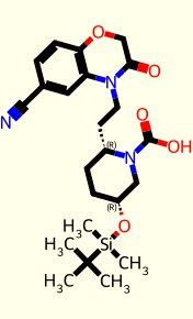 CC(C)(C)[Si](C)(C)O[C@@H]1CC[C@H](CCN2C(=O)COc3ccc(C#N)cc32)N(C(=O)O)C1